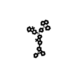 CC1(C)c2cc(-c3ccc4c(c3)c3ccccc3n4-c3ccccc3)ccc2-c2ccc(N(C3=CC4C(C=C3)c3ccccc3C4(C)C)c3ccc(N(c4ccccc4)c4cccc5ccccc45)cc3)cc21